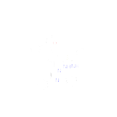 N=C(SC(=N)c1cc(-c2oc3ccccc3c2-c2ccccc2)ccc1-c1cc(-c2ccccc2)nc(-c2ccccc2)n1)c1ccccc1